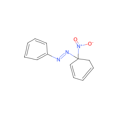 O=[N+]([O-])C1(/N=N/c2ccccc2)C=CC=CC1